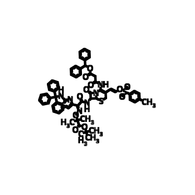 Cc1ccc(S(=O)(=O)OC=CC2=C(NC(=O)CC(=O)OC(c3ccccc3)c3ccccc3)N3C(=O)C(NC(=O)C(=NOC(C)(C)C(=O)OC(C)(C)C)c4csc(NC(c5ccccc5)(c5ccccc5)c5ccccc5)n4)C3SC2)cc1